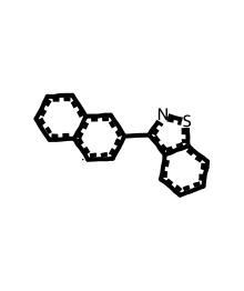 [c]1cc(-c2nsc3ccccc23)cc2ccccc12